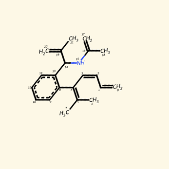 C=C/C=C\C(=C(C)C)c1ccccc1C(NC(=C)C)C(=C)C